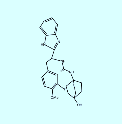 COc1ccc(CC(NC(=O)NC23CCC(O)(CC2)CC3)c2nc3ccccc3[nH]2)cc1F